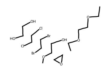 BrCCBr.C1CO1.CCOCCOCC.COCCO.ClCCCl.OCCO